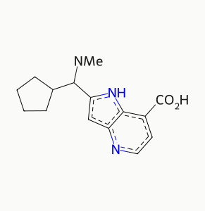 CNC(c1cc2nccc(C(=O)O)c2[nH]1)C1CCCC1